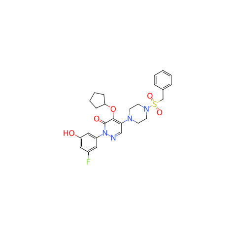 O=c1c(OC2CCCC2)c(N2CCN(S(=O)(=O)Cc3ccccc3)CC2)cnn1-c1cc(O)cc(F)c1